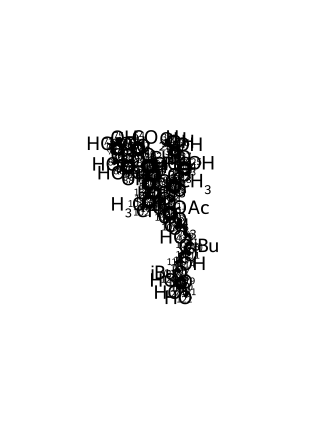 CC[C@H](C)[C@H](C[C@H](O)CC(=O)O[C@@H]1[C@H](OC(C)=O)[C@@H](OC[C@@H]2O[C@@H](C)[C@H](O[C@@H]3OC[C@@H](O)[C@H](O[C@@H]4OC[C@](O)(CO)[C@H]4O)[C@H]3O)[C@@H](O)[C@H]2O)[C@H](OC(=O)[C@@]23CCC4C(=CC[C@@H]5[C@@]6(C)CC[C@H](O[C@@H]7O[C@H](C(=O)O)[C@@H](O)[C@H](O[C@@H]8OC[C@@H](O)C(O)=C8O)[C@H]7O[C@@H]7O[C@H](CO)[C@H](O)[C@H](O)[C@H]7O)[C@@](C)(C=O)[C@@H]6CC[C@@]45C)[C@@H]2CC(C)(C)CC3)O[C@@H]1C)OC(=O)C[C@@H](O)C[C@H](O[C@@H]1O[C@@H](CO)[C@H](O)[C@H]1O)[C@@H](C)CC